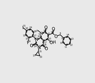 Cn1c(=O)c(C(=O)OCc2ccccc2)c(O)c2c(=O)n(C3CC3)c(=O)n(-c3ccc(I)cc3F)c21